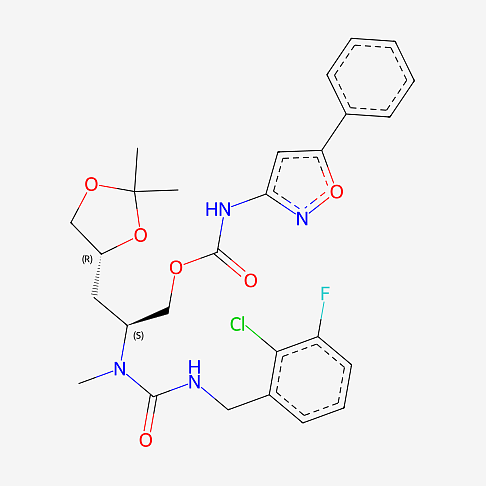 CN(C(=O)NCc1cccc(F)c1Cl)[C@H](COC(=O)Nc1cc(-c2ccccc2)on1)C[C@@H]1COC(C)(C)O1